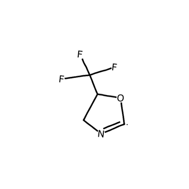 FC(F)(F)C1CN=[C]O1